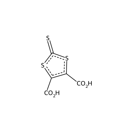 O=C(O)c1sc(=S)sc1C(=O)O